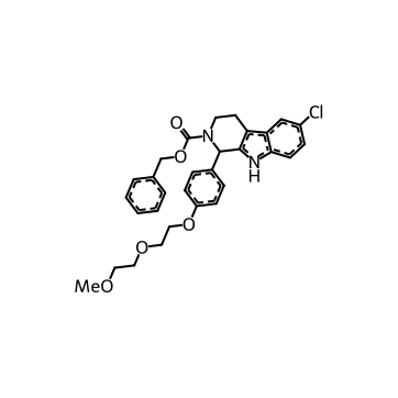 COCCOCCOc1ccc(C2c3[nH]c4ccc(Cl)cc4c3CCN2C(=O)OCc2ccccc2)cc1